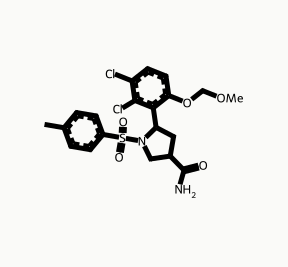 COCOc1ccc(Cl)c(Cl)c1C1CC(C(N)=O)CN1S(=O)(=O)c1ccc(C)cc1